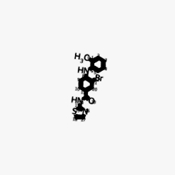 Cc1ccccc1Nc1ccc(C(=O)Nc2nccs2)cc1Br